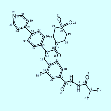 O=C(NNC(=O)C(F)F)c1ccc(CN(C(=O)N2CCS(=O)(=O)CC2)c2ccc(-c3ccncc3)cc2)c(F)c1